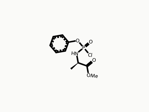 COC(=O)[C@@H](C)NP(=O)(Cl)Oc1ccccc1